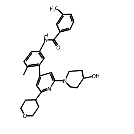 Cc1ccc(NC(=O)c2cccc(C(F)(F)F)c2)cc1-c1cc(C2CCOCC2)nc(N2CCC(O)CC2)c1